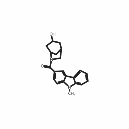 Cn1c2ccccc2c2cc(C(=O)N3CC4CC(O)CC3C4)ccc21